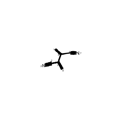 C=C(C#N)C(=C)C#N